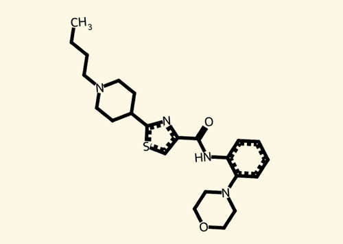 CCCCN1CCC(c2nc(C(=O)Nc3ccccc3N3CCOCC3)cs2)CC1